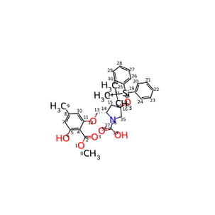 COC(=O)c1c(O)cc(C)cc1OC[C@@H]1C[C@@H](O[Si](c2ccccc2)(c2ccccc2)C(C)(C)C)CN1C(=O)O